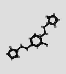 Cc1cc(SSc2nccs2)ccc1SSc1nccs1